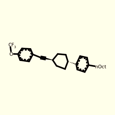 CCCCCCCCc1ccc([C@H]2CC[C@H](C#Cc3ccc(OC(F)(F)F)cc3)CC2)cc1